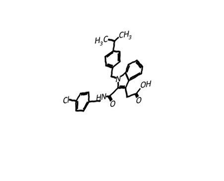 CC(C)c1ccc(Cn2c(C(=O)NCc3ccc(Cl)cc3)c(CC(=O)O)c3ccccc32)cc1